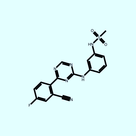 CS(=O)(=O)Nc1cccc(Nc2ncnc(-c3ccc(F)cc3C#N)n2)c1